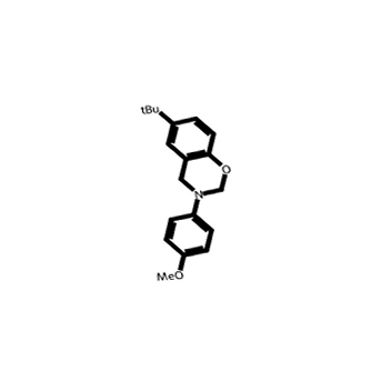 COc1ccc(N2COc3ccc(C(C)(C)C)cc3C2)cc1